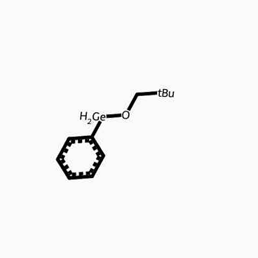 CC(C)(C)C[O][GeH2][c]1ccccc1